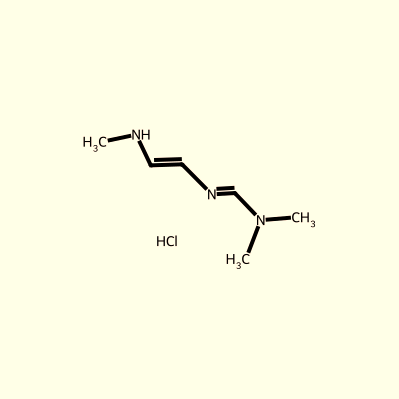 CNC=CN=CN(C)C.Cl